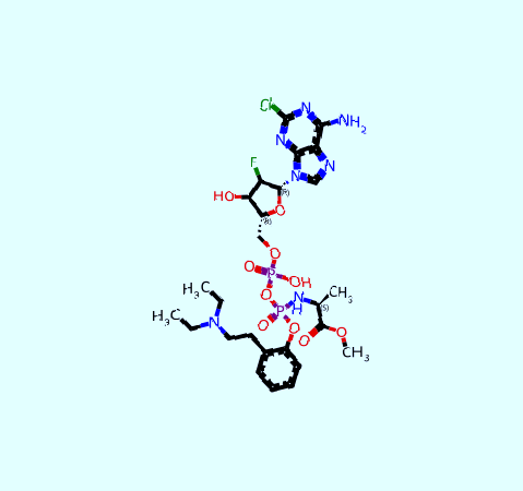 CCN(CC)CCc1ccccc1OP(=O)(N[C@@H](C)C(=O)OC)OP(=O)(O)OC[C@H]1O[C@@H](n2cnc3c(N)nc(Cl)nc32)C(F)C1O